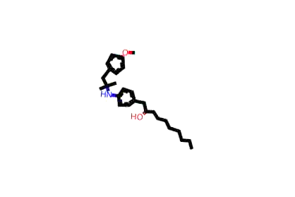 CCCCCCCCC(O)Cc1ccc(NC(C)(C)Cc2ccc(OC)cc2)cc1